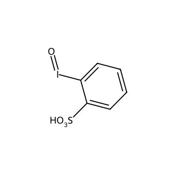 O=Ic1ccccc1S(=O)(=O)O